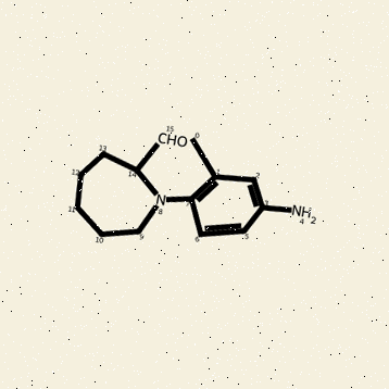 Cc1cc(N)ccc1N1CCCCCC1C=O